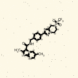 Cc1cnc2nc(C)c(C(=O)NCc3ccc(-c4nc5n(n4)CCN(S(=O)(=O)C(F)(F)F)C5)cc3)n2c1